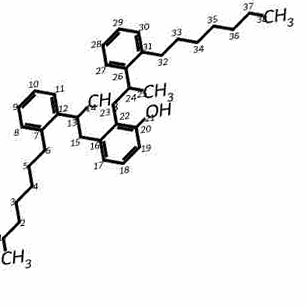 CCCCCCCc1ccccc1C(C)Cc1cccc(O)c1CC(C)c1ccccc1CCCCCCC